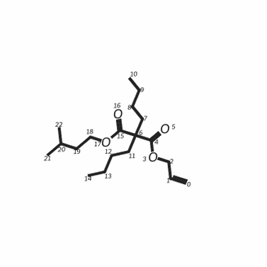 C=CCOC(=O)C(CCCC)(CCCC)C(=O)OCCC(C)C